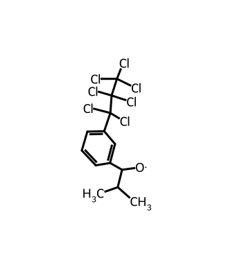 CC(C)C([O])c1cccc(C(Cl)(Cl)C(Cl)(Cl)C(Cl)(Cl)Cl)c1